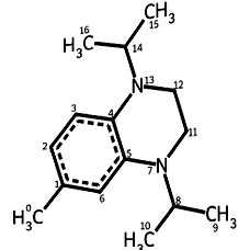 Cc1[c]cc2c(c1)N(C(C)C)CCN2C(C)C